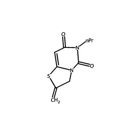 C=C1Cn2c(cc(=O)n(CCC)c2=O)S1